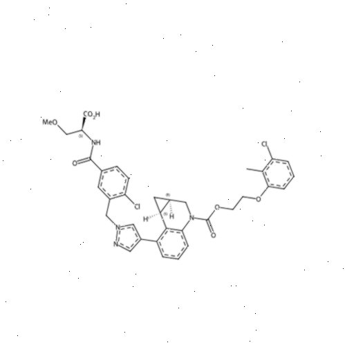 COC[C@H](NC(=O)c1ccc(Cl)c(Cn2cc(-c3cccc4c3[C@H]3C[C@H]3CN4C(=O)OCCOc3cccc(Cl)c3C)cn2)c1)C(=O)O